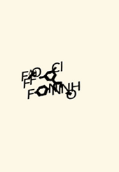 C[C@@H](OCc1cc(Cl)cc(-c2cc(NC=O)nn2-c2ccc(F)cc2)c1)C(F)(F)F